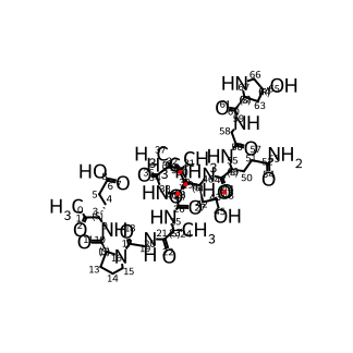 CC(=O)[C@H](CCC(=O)O)NC(=O)[C@@H]1CCCN1C(=O)CNC(=O)[C@H](C)NC(=O)[C@H](CC(C)C)NC(=O)[C@H](C)NC(=O)[C@H](CC(=O)O)NC(=O)[C@H](CCC(N)=O)NC(=O)CNC(=O)[C@@H]1C[C@@H](O)CN1